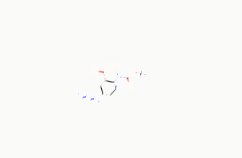 CC(C)(C)OC(=O)Nc1ccc(N=[N+]=[N-])cc1C(=O)O